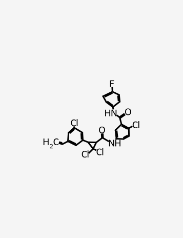 C=Cc1cc(Cl)cc(C2C(C(=O)Nc3ccc(Cl)c(C(=O)Nc4ccc(F)cc4)c3)C2(Cl)Cl)c1